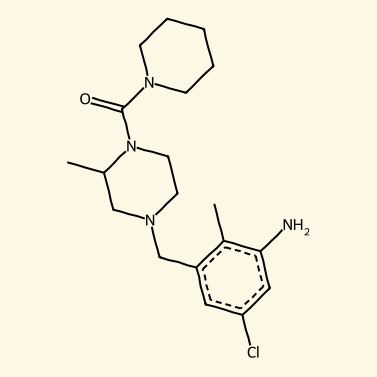 Cc1c(N)cc(Cl)cc1CN1CCN(C(=O)N2CCCCC2)C(C)C1